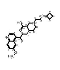 COc1ccc2nccc(C(F)CC[C@@H]3CCN(CCSC4CCC4)C[C@@H]3C(=O)O)c2c1